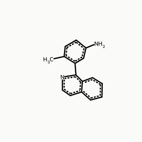 Cc1ccc(N)cc1-c1nccc2ccccc12